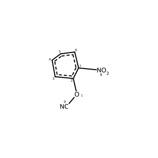 N#COc1ccccc1[N+](=O)[O-]